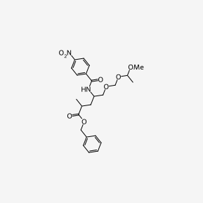 COC(C)OCOCC(CC(C)C(=O)OCc1ccccc1)NC(=O)c1ccc([N+](=O)[O-])cc1